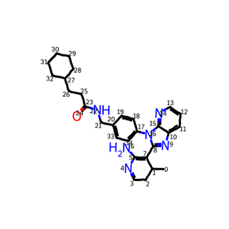 CC1CC=NC(N)=C1c1nc2cccnc2n1-c1ccc(CNC(=O)CCC2CCCCC2)cc1